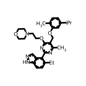 CCc1ccc2[nH]ncc2c1-c1nc(C)c(COc2cc(C(C)C)ccc2C)c(OCCN2CCOCC2)n1